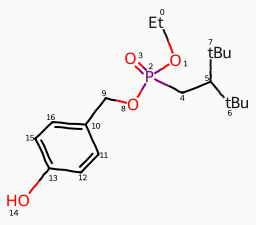 CCOP(=O)(CC(C(C)(C)C)C(C)(C)C)OCc1ccc(O)cc1